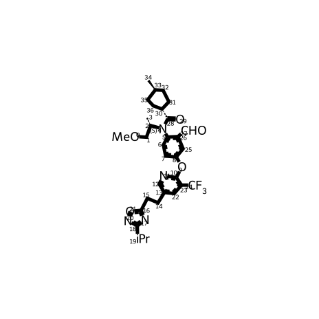 COC[C@H](C)N(c1ccc(Oc2ncc(CCc3nc(C(C)C)no3)cc2C(F)(F)F)cc1C=O)C(=O)[C@H]1CC[C@H](C)CC1